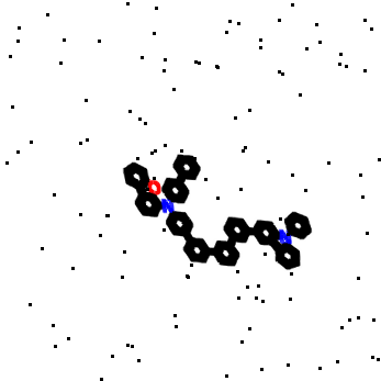 c1ccc(-c2ccc(N(c3ccc(-c4cccc(-c5cccc(-c6cccc(-c7ccc8c(c7)c7ccccc7n8-c7ccccc7)c6)c5)c4)cc3)c3cccc4c3oc3ccccc34)cc2)cc1